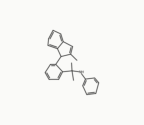 CC1=Cc2ccccc2C1c1ccccc1C(C)(C)Nc1ccccc1